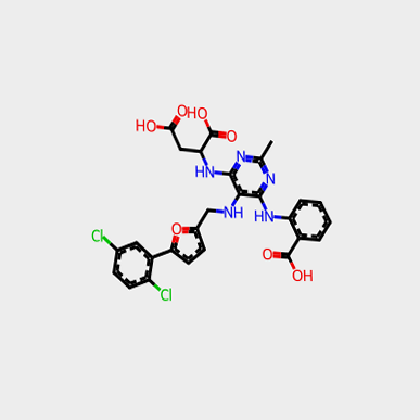 Cc1nc(Nc2ccccc2C(=O)O)c(NCc2ccc(-c3cc(Cl)ccc3Cl)o2)c(NC(CC(=O)O)C(=O)O)n1